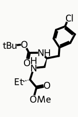 CC[C@H](NC[C@H](Cc1ccc(Cl)cc1)NC(=O)OC(C)(C)C)C(=O)OC